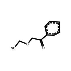 N#CCOCC(=O)c1ccccc1